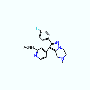 CC(=O)Nc1cc(-c2c(-c3ccc(F)cc3)nn3c2CN(C)CC3)ccn1